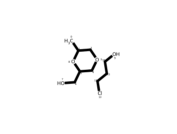 CC1COCC(CO)O1.OCCCCl